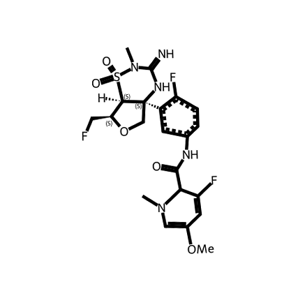 COC1=CN(C)C(C(=O)Nc2ccc(F)c([C@]34CO[C@@H](CF)[C@H]3S(=O)(=O)N(C)C(=N)N4)c2)C(F)=C1